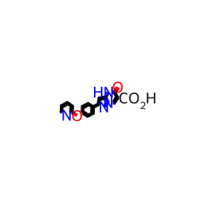 O=C(O)c1cn2nc(-c3ccc(Oc4ccccn4)cc3)cc2[nH]c1=O